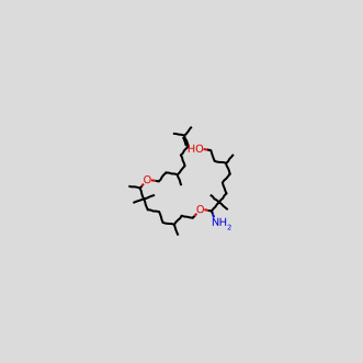 CC(C)=CCCC(C)CCOC(C)C(C)(C)CCCC(C)CCOC(N)C(C)(C)CCCC(C)CCO